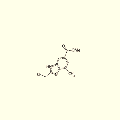 COC(=O)c1cc(C)c2nc(CCl)[nH]c2c1